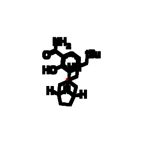 CC(C)(C)CNCCN1[C@@H]2CC[C@H]1C[C@@H](c1cccc(C(N)=O)c1O)C2